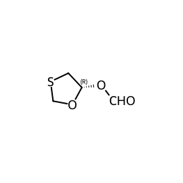 O=CO[C@H]1CSCO1